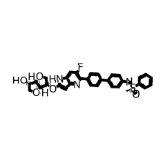 C[S@@](=O)(=Nc1ccc(-c2ccc(-c3nc4cc(O[C@@H]5CO[C@H]6[C@@H]5OC[C@H]6O)[nH]c4cc3F)cc2)cc1)c1ccccc1